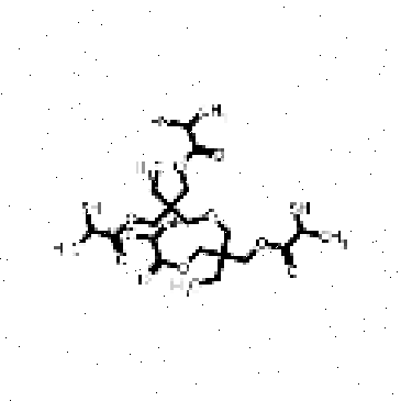 CCC(COCC(CC)(COC(=O)C(C)S)COC(=O)C(C)S)(COC(=O)C(C)S)COC(=O)C(C)S